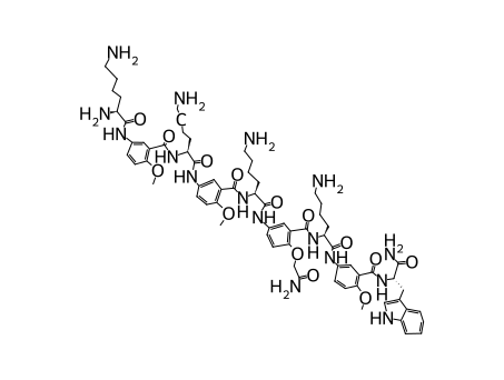 COc1ccc(NC(=O)[C@H](CCCCN)NC(=O)c2cc(NC(=O)[C@H](CCCCN)NC(=O)c3cc(NC(=O)[C@H](CCCCN)NC(=O)c4cc(NC(=O)[C@@H](N)CCCCN)ccc4OC)ccc3OC)ccc2OCC(N)=O)cc1C(=O)N[C@@H](Cc1c[nH]c2ccccc12)C(N)=O